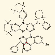 CC(C)(C)c1ccc(N2c3cc4c(cc3B3c5cc6c(cc5N(c5ccc7c(c5)C(C)(C)CCC7(C)C)c5cc(N7c8ccccc8C8(C)CCCCC78C)cc2c53)C(C)(C)CCC6(C)C)-c2ccccc2C4(C)C)c(-c2ccccc2)c1